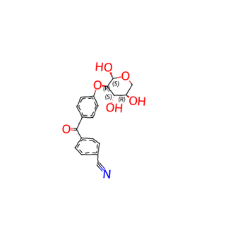 N#Cc1ccc(C(=O)c2ccc(O[C@@H]3[C@@H](O)[C@H](O)CO[C@@H]3O)cc2)cc1